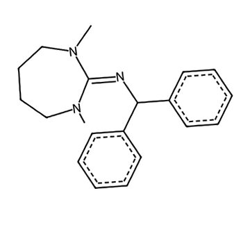 CN1CCCCN(C)C1=NC(c1ccccc1)c1ccccc1